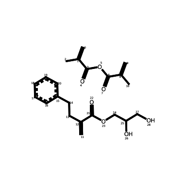 C=C(C)C(=O)OC(=O)C(=C)C.C=C(CCc1ccccc1)C(=O)OCC(O)CO